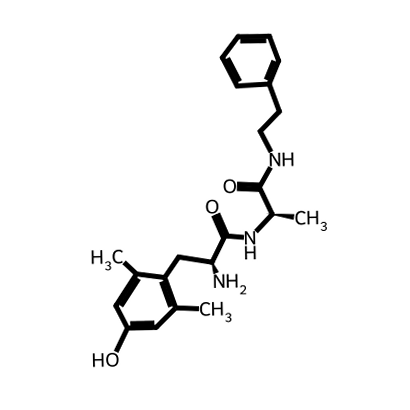 Cc1cc(O)cc(C)c1C[C@H](N)C(=O)N[C@H](C)C(=O)NCCc1ccccc1